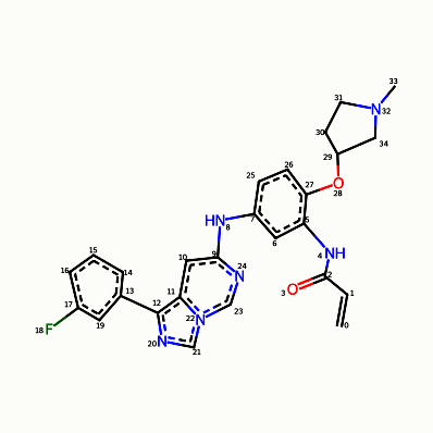 C=CC(=O)Nc1cc(Nc2cc3c(-c4cccc(F)c4)ncn3cn2)ccc1OC1CCN(C)C1